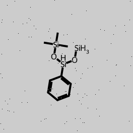 C[Si](C)(C)O[SiH](O[SiH3])c1ccccc1